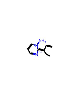 C=C/C(CC)=C1/N=CC=CN1N